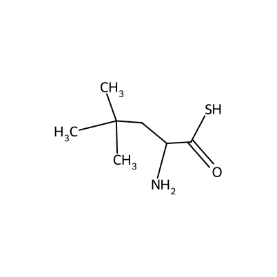 CC(C)(C)CC(N)C(=O)S